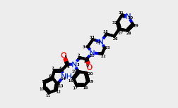 O=C(CN(C(=O)c1cc2ccccc2[nH]1)c1ccccc1)N1CCN(CCc2ccncc2)CC1